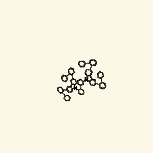 c1ccc(-c2ccccc2-c2ccc3c(c2)c2cc(-c4ccccc4-c4ccccc4)ccc2n3-c2cccc(-c3ccccc3-n3c4ccc(-c5ccccc5-c5ccccc5)cc4c4cc(-c5ccccc5-c5ccccc5)ccc43)c2)cc1